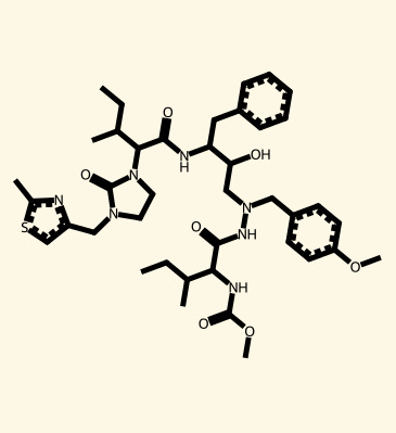 CCC(C)C(NC(=O)OC)C(=O)NN(Cc1ccc(OC)cc1)CC(O)C(Cc1ccccc1)NC(=O)C(C(C)CC)N1CCN(Cc2csc(C)n2)C1=O